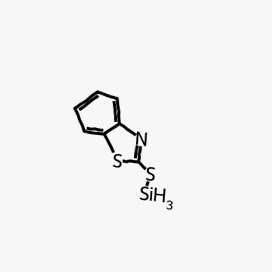 [SiH3]Sc1nc2ccccc2s1